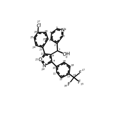 OC(c1cccnc1)c1c(-c2ccc(C(F)(F)F)cc2)noc1-c1ccc(Cl)cc1